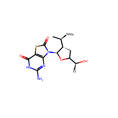 CC[C@H](O)C1C[C@@H]([C@@H](C)NC)[C@H](n2c(=O)sc3c(=O)[nH]c(N)nc32)O1